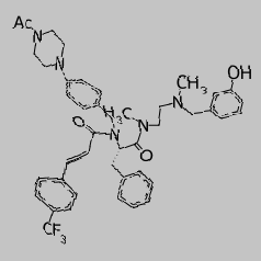 CC(=O)N1CCN(c2ccc(CN(C(=O)C=Cc3ccc(C(F)(F)F)cc3)[C@@H](Cc3ccccc3)C(=O)N(C)CCN(C)Cc3cccc(O)c3)cc2)CC1